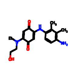 CCN(CCO)C1=CC(=O)C(Nc2ccc(N)c(C)c2C)=CC1=O